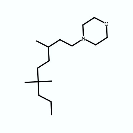 CCCC(C)(C)CCC(C)CCN1CCOCC1